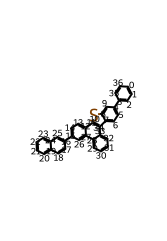 c1ccc(-c2ccc3c(c2)sc2c4ccc(-c5ccc6ccccc6c5)cc4c4ccccc4c32)cc1